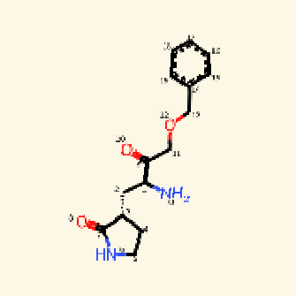 NC(C[C@@H]1CCNC1=O)C(=O)COCc1ccccc1